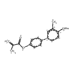 C=C(C)C(=O)Oc1ccc(-c2ccc(OC)c(C)c2)cc1